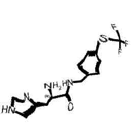 N[C@H](Cc1c[nH]cn1)C(=O)NCc1ccc(SC(F)(F)F)cc1